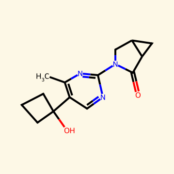 Cc1nc(N2CC3CC3C2=O)ncc1C1(O)CCC1